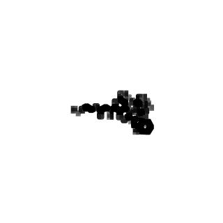 C=CCOC(=O)CNC(=O)C(=O)C(CCC)NC(=O)[C@@H]1C[C@@H]2CCCC[C@@H]2N1C(=O)OC(C)(C)C